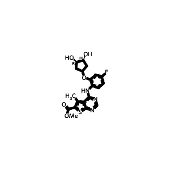 COC(=O)c1sc2ncnc(Nc3ccc(F)cc3OC3C[C@@H](O)[C@H](O)C3)c2c1C